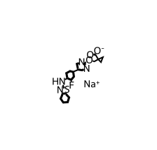 O=C([O-])C1(COc2ncc(-c3ccc(Nc4nc5ccccc5s4)c(F)c3)cn2)CC1.[Na+]